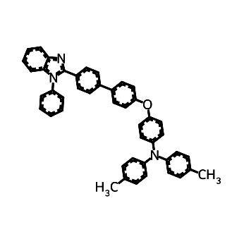 Cc1ccc(N(c2ccc(C)cc2)c2ccc(Oc3ccc(-c4ccc(-c5nc6ccccc6n5-c5ccccc5)cc4)cc3)cc2)cc1